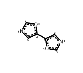 c1ncc(-c2cnco2)o1